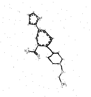 CCON1CCC(c2ccc(-c3ccc[nH]3)cc2C(N)=O)CC1